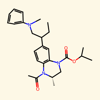 CCC(CN(C)c1ccccc1)c1ccc2c(c1)N(C(=O)OC(C)C)C[C@H](C)N2C(C)=O